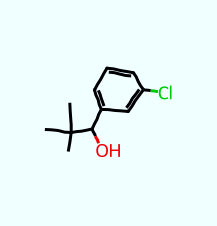 CC(C)(C)C(O)c1cccc(Cl)c1